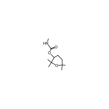 CNC(=O)OC1CCC(C)(C)OC1(C)C